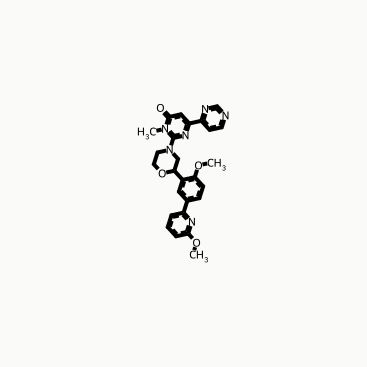 COc1cccc(-c2ccc(OC)c(C3CN(c4nc(-c5ccncn5)cc(=O)n4C)CCO3)c2)n1